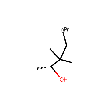 CCCCC(C)(C)[C@@H](C)O